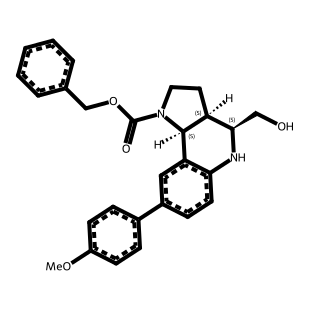 COc1ccc(-c2ccc3c(c2)[C@@H]2[C@@H](CCN2C(=O)OCc2ccccc2)[C@@H](CO)N3)cc1